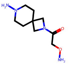 NOCC(=O)N1CC2(CCN(N)CC2)C1